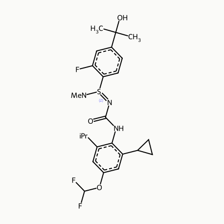 CN/S(=N\C(=O)Nc1c(C(C)C)cc(OC(F)F)cc1C1CC1)c1ccc(C(C)(C)O)cc1F